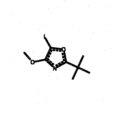 COc1nc(C(C)(C)C)oc1I